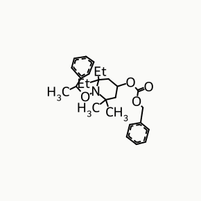 CCC1(CC)CC(OC(=O)OCc2ccccc2)CC(C)(C)N1OC(C)c1ccccc1